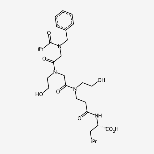 CC(C)C[C@H](NC(=O)CCN(CCO)C(=O)CN(CCO)C(=O)CN(Cc1ccccc1)C(=O)C(C)C)C(=O)O